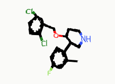 Cc1cc(F)ccc1C1CNCCC1OCc1cc(Cl)ccc1Cl